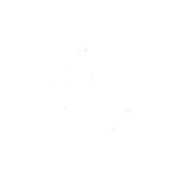 CCCSP1(=S)OCC(C)(C)CO1